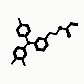 C=CC(=O)OCCc1cccc(N(c2ccc(C)cc2)c2ccc(C)c(C)c2)c1